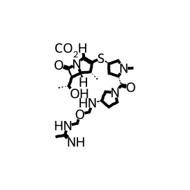 CC(=N)NCOCN[C@H]1CCN(C(=O)[C@@H]2C[C@H](SC3=C(C(=O)O)N4C(=O)[C@H]([C@@H](C)O)[C@H]4[C@H]3C)CN2C)C1